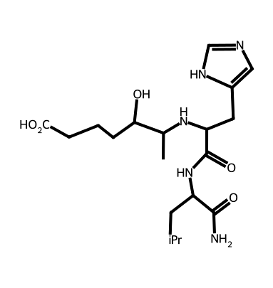 CC(C)CC(NC(=O)C(Cc1cnc[nH]1)NC(C)C(O)CCCC(=O)O)C(N)=O